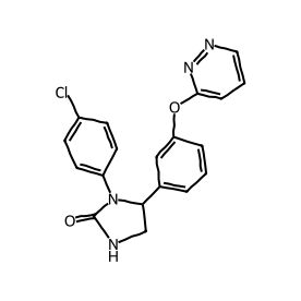 O=C1NCC(c2cccc(Oc3cccnn3)c2)N1c1ccc(Cl)cc1